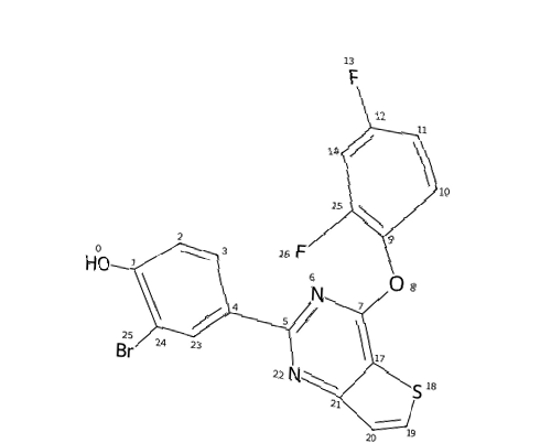 Oc1ccc(-c2nc(Oc3ccc(F)cc3F)c3sccc3n2)cc1Br